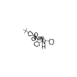 CC(C)(C)c1ccc(S(=O)(=O)Nc2ccccc2C2=NCC(c3ccccc3)N2)cc1